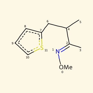 CON=C(C)C(C)Cc1cccs1